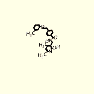 Cc1cccc(OCCc2ccc(C(=O)NCc3c(C)cc(C)nc3O)cc2)c1